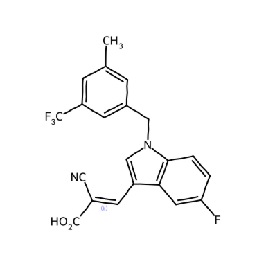 Cc1cc(Cn2cc(/C=C(\C#N)C(=O)O)c3cc(F)ccc32)cc(C(F)(F)F)c1